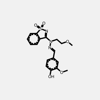 COCCN(/N=C/c1ccc(O)c(OC)c1)C1=NS(=O)(=O)c2ccccc21